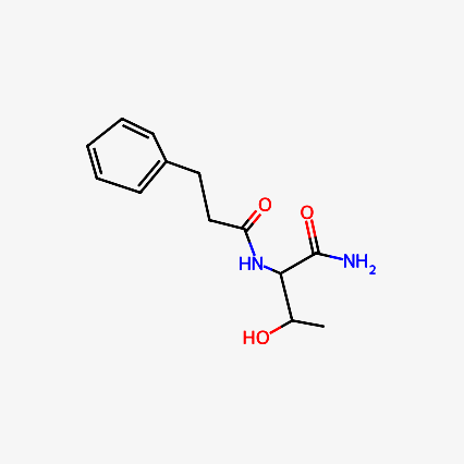 CC(O)C(NC(=O)CCc1ccccc1)C(N)=O